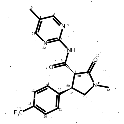 Cc1cnc(NC(=O)[C@@H]2C(=O)N(C)C[C@H]2c2ccc(C(F)(F)F)cc2)nc1